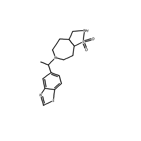 CC(c1ccc2scnc2c1)N1CCC2CNS(=O)(=O)C2CC1